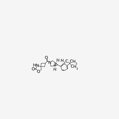 CC(C)(C)c1cccc(C2[C@H]3CN(C(=O)C4CC5(COC(=O)N5)C4)C[C@@H]23)c1